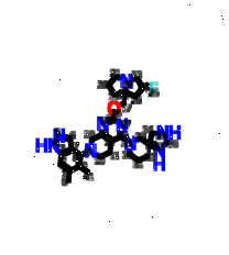 Cc1cc2[nH]ncc2c(N2CCc3c(nc(OC[C@@]45CCCN4C[C@H](F)C5)nc3N3CCC[C@@]4(CNCN4)C3)C2)c1C